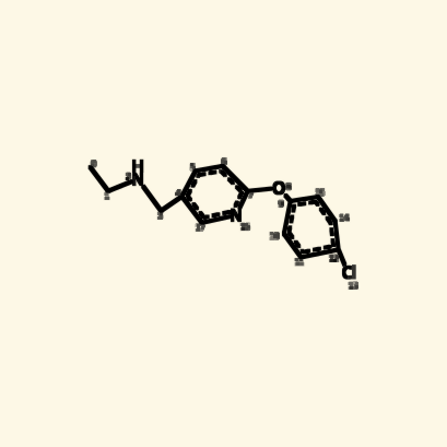 CCNCc1ccc(Oc2ccc(Cl)cc2)nc1